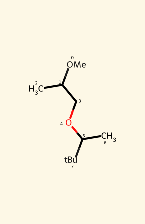 COC(C)COC(C)C(C)(C)C